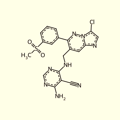 CS(=O)(=O)c1cccc(-c2nn3c(Cl)cnc3cc2CNc2ncnc(N)c2C#N)c1